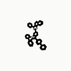 c1ccc(-c2ccc(-c3c4ccc(-c5nc(-c6ccccc6)c6ccc7ccccc7c6n5)cc4n4c5ccccc5c5ccccc5c34)cc2)cc1